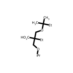 CCC(C)(C)OCC(CC)(COC(C)C)C(=O)O